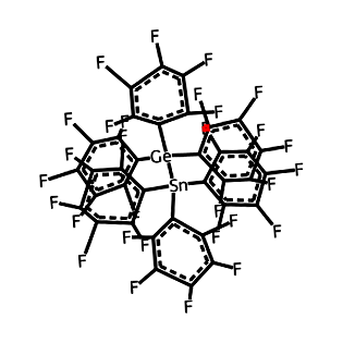 Fc1c(F)c(F)[c]([Ge]([c]2c(F)c(F)c(F)c(F)c2F)([c]2c(F)c(F)c(F)c(F)c2F)[Sn]([c]2c(F)c(F)c(F)c(F)c2F)([c]2c(F)c(F)c(F)c(F)c2F)[c]2c(F)c(F)c(F)c(F)c2F)c(F)c1F